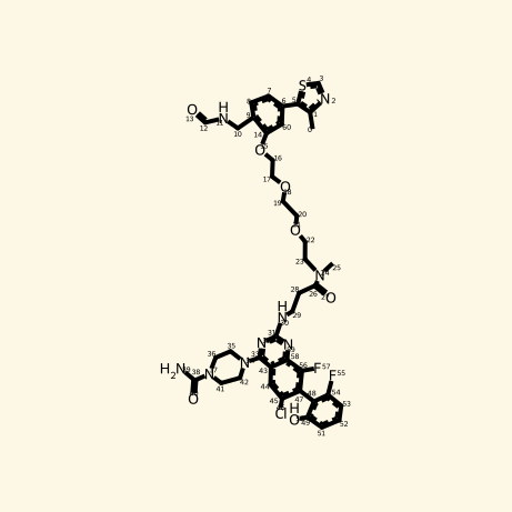 Cc1ncsc1-c1ccc(CNC=O)c(OCCOCCOCCN(C)C(=O)CCNc2nc(N3CCN(C(N)=O)CC3)c3cc(Cl)c(-c4c(O)cccc4F)c(F)c3n2)c1